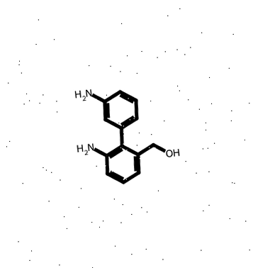 Nc1cccc(-c2c(N)cccc2CO)c1